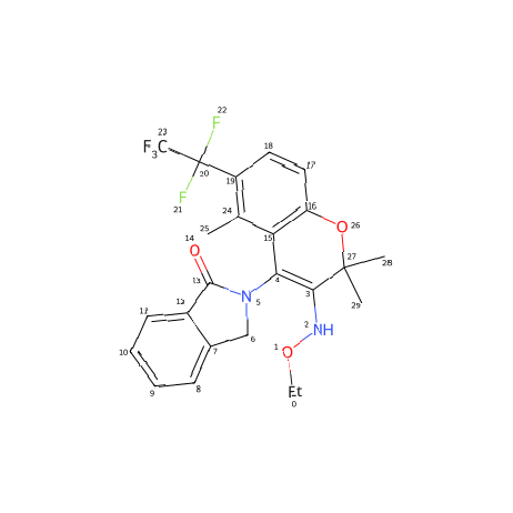 CCONC1=C(N2Cc3ccccc3C2=O)c2c(ccc(C(F)(F)C(F)(F)F)c2C)OC1(C)C